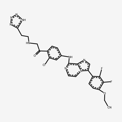 N#CCOc1ccc(-c2cnc3c(Nc4ccc(C(=O)CNCCc5nnn[nH]5)c(Cl)c4)nccn23)c(F)c1F